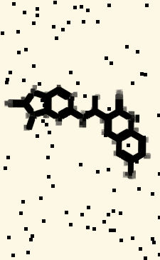 CC(Nc1ncc2sc(=O)n(C)c2n1)c1cc2cc(Cl)ccc2[nH]c1=O